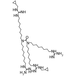 N=C(N)NCCCCCCCCN(CCCCCCCCNC(=N)NCC1CC1)C(=O)N(CCCCCCCCNC(=N)N)CCCCCCCCNC(=N)NCC1CC1